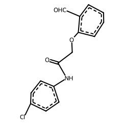 O=Cc1ccccc1OCC(=O)Nc1ccc(Cl)cc1